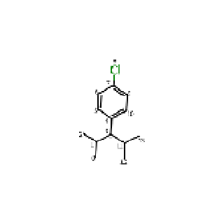 CC(C)[C](c1ccc(Cl)cc1)C(C)C